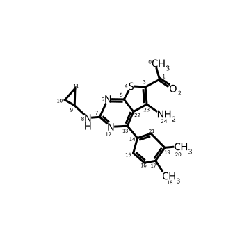 CC(=O)c1sc2nc(NC3CC3)nc(-c3ccc(C)c(C)c3)c2c1N